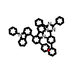 c1ccc(-c2ccc(-c3nc(-c4ccccc4)nc(-c4ccccc4)n3)c(-n3c4ccccc4c4c(-c5cccc6c5c5ccccc5n6-c5ccccc5)ccc(-c5ccccc5)c43)c2)cc1